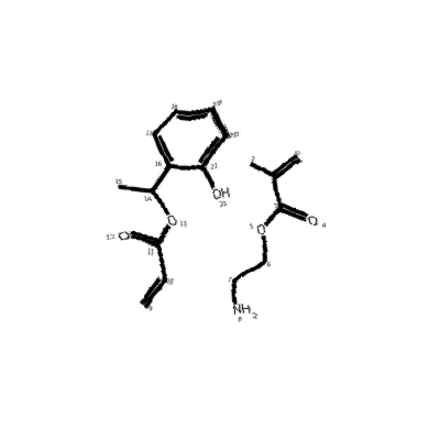 C=C(C)C(=O)OCCN.C=CC(=O)OC(C)c1ccccc1O